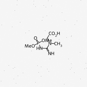 COP(=O)(NC(=N)N(C)CC(=O)O)OC